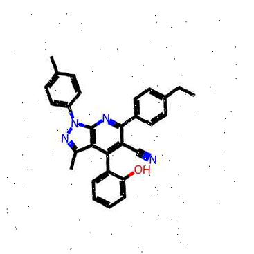 CCc1ccc(-c2nc3c(c(C)nn3-c3ccc(C)cc3)c(-c3ccccc3O)c2C#N)cc1